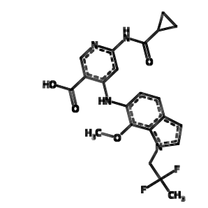 COc1c(Nc2cc(NC(=O)C3CC3)ncc2C(=O)O)ccc2ccn(CC(C)(F)F)c12